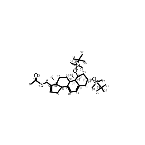 CC(=O)SCC1=CCC2C3=CC=C4C[C@@H](O[Si](C)(C)C(C)(C)C)C[C@H](O[Si](C)(C)C(C)(C)C)[C@]4(C)C3CC[C@]12C